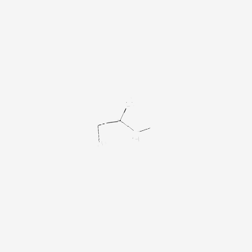 CCCCC(CC)[PH][Sc]